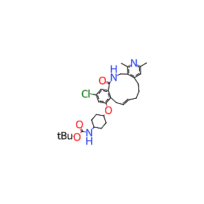 Cc1cc2c(c(C)n1)CNC(=O)c1cc(Cl)cc(O[C@H]3CC[C@H](NC(=O)OC(C)(C)C)CC3)c1C/C=C/CCC2